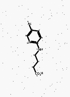 CC(=O)c1ccc(NCCCC(=O)O)nc1